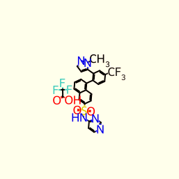 Cn1nccc1-c1cc(C(F)(F)F)ccc1-c1cccc2cc(S(=O)(=O)Nc3ccncn3)ccc12.O=C(O)C(F)(F)F